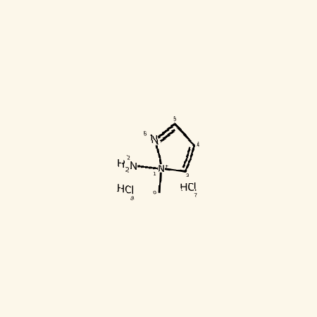 C[N+]1(N)C=CC=N1.Cl.Cl